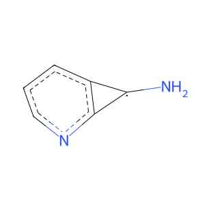 N[C]1c2cccnc21